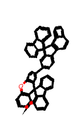 c1ccc2c(c1)-c1ccccc1C21c2cc(-c3ccc4c(c3)C3(c5ccccc5-c5ccccc53)c3c-4ccc4ccccc34)ccc2Oc2ccc3ccccc3c21